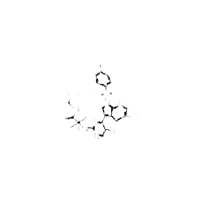 Cc1ccc(S(=O)(=O)n2cc(-c3nc(NC(C)(C)C(=O)NCC(F)(F)F)ncc3N)c3cc(C(F)(F)F)cnc32)cc1